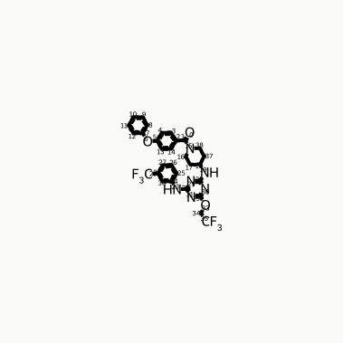 O=C(c1ccc(Oc2ccccc2)cc1)N1CCC(Nc2nc(Nc3cccc(C(F)(F)F)c3)nc(OCC(F)(F)F)n2)CC1